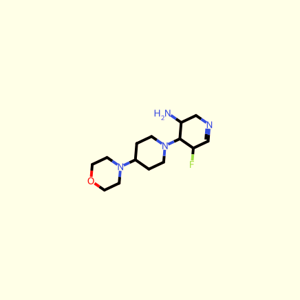 NC1CN=CC(F)C1N1CCC(N2CCOCC2)CC1